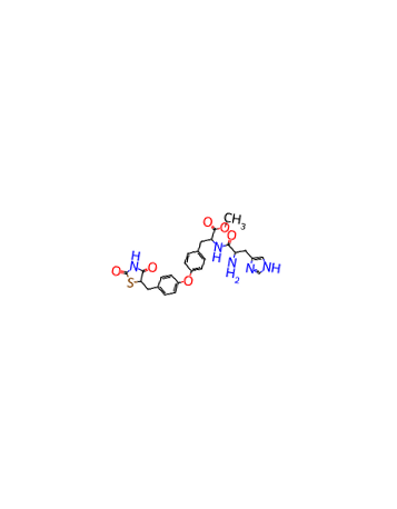 COC(=O)C(Cc1ccc(Oc2ccc(CC3SC(=O)NC3=O)cc2)cc1)NC(=O)C(N)Cc1c[nH]cn1